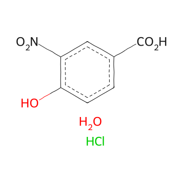 Cl.O.O=C(O)c1ccc(O)c([N+](=O)[O-])c1